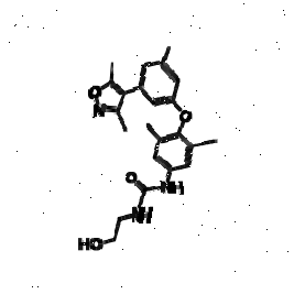 Cc1cc(Oc2c(C)cc(NC(=O)NCCO)cc2C)cc(-c2c(C)noc2C)c1